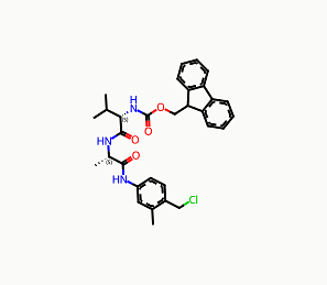 Cc1cc(NC(=O)[C@H](C)NC(=O)[C@@H](NC(=O)OCC2c3ccccc3-c3ccccc32)C(C)C)ccc1CCl